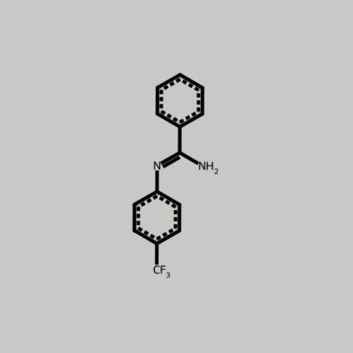 NC(=Nc1ccc(C(F)(F)F)cc1)c1ccccc1